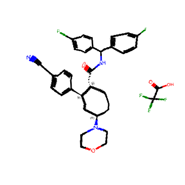 N#Cc1ccc([C@@H]2C[C@H](N3CCOCC3)CC[C@H]2C(=O)NC(c2ccc(F)cc2)c2ccc(F)cc2)cc1.O=C(O)C(F)(F)F